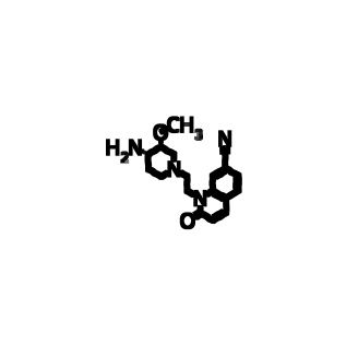 CO[C@H]1CN(CCn2c(=O)ccc3ccc(C#N)cc32)CC[C@@H]1N